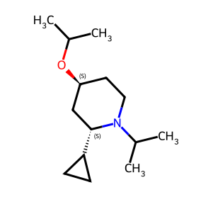 CC(C)O[C@H]1CCN(C(C)C)[C@H](C2CC2)C1